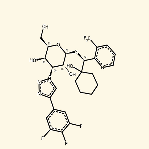 OC[C@H]1O[C@@H](S[C@@H](c2ncccc2C(F)(F)F)C2(O)CCCCC2)[C@H](O)[C@@H](n2cc(-c3cc(F)c(F)c(F)c3)nn2)[C@H]1O